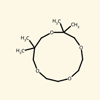 CC1(C)COCCOCCOCC(C)(C)OC1